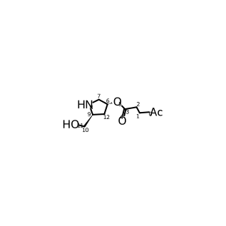 CC(=O)CCC(=O)O[C@H]1CN[C@H](CO)C1